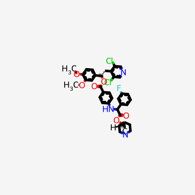 COc1ccc([C@H](Cc2c(Cl)cncc2Cl)OC(=O)c2ccc(NC(C(=O)O[C@H]3CN4CCC3CC4)c3cccc(F)c3)cc2)cc1OC